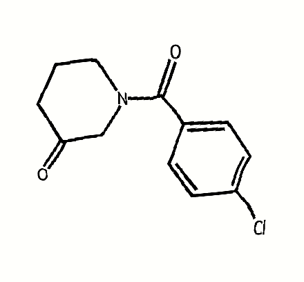 O=C1CCCN(C(=O)c2ccc(Cl)cc2)C1